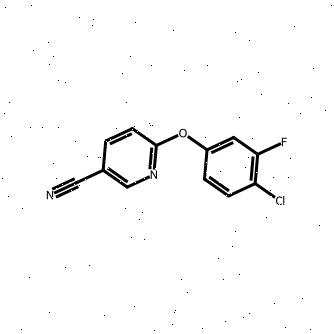 N#Cc1ccc(Oc2ccc(Cl)c(F)c2)nc1